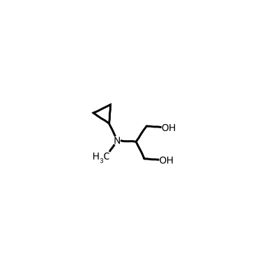 CN(C(CO)CO)C1CC1